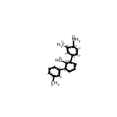 Cc1cccc(-c2cccc(-c3ccc(N)c(C)c3)c2O)c1